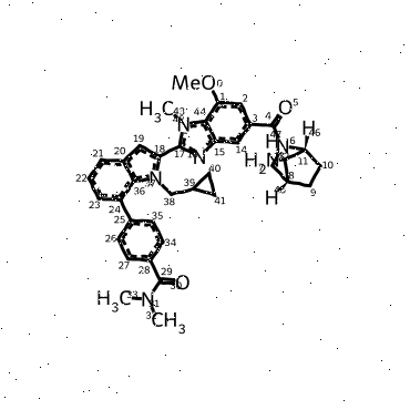 COc1cc(C(=O)N2C[C@H]3CC[C@@H]2[C@@H]3N)cc2nc(-c3cc4cccc(-c5ccc(C(=O)N(C)C)cc5)c4n3CC3CC3)n(C)c12